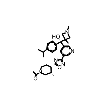 CC(=O)N1CC[C@H](c2nc(-c3cncc([C@@](O)(c4ccc(C(C)C)cc4)C4(C)CN(C)C4)c3)no2)[C@H](C)C1